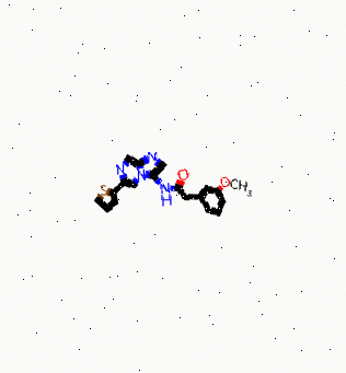 COc1cccc(CC(=O)Nc2cnc3cnc(-c4cccs4)cn23)c1